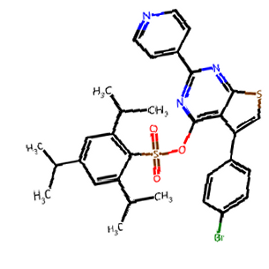 CC(C)c1cc(C(C)C)c(S(=O)(=O)Oc2nc(-c3ccncc3)nc3scc(-c4ccc(Br)cc4)c23)c(C(C)C)c1